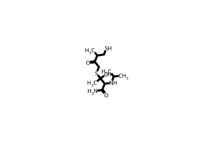 CC(C)NC(C(N)=O)C(C)(C)SCC(=O)C(C)CS